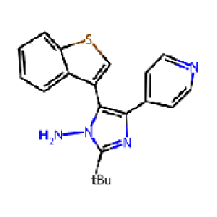 CC(C)(C)c1nc(-c2ccncc2)c(-c2csc3ccccc23)n1N